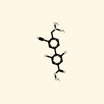 COC(=O)c1cc(Cl)c(-c2ccc(CN(C)C)c(C#N)c2)c(Cl)c1